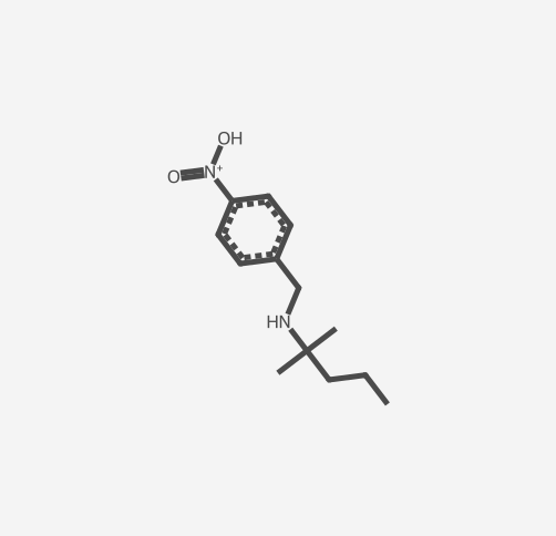 CCCC(C)(C)NCc1ccc([N+](=O)O)cc1